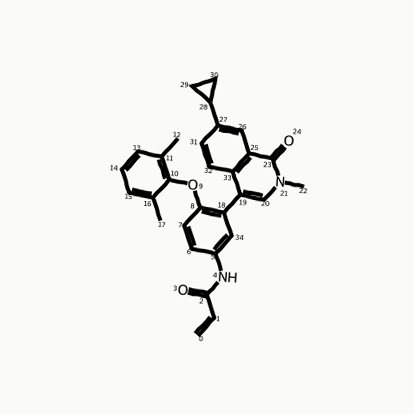 C=CC(=O)Nc1ccc(Oc2c(C)cccc2C)c(-c2cn(C)c(=O)c3cc(C4CC4)ccc23)c1